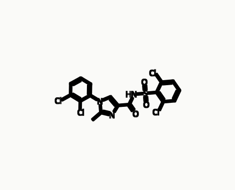 Cc1nc(C(=O)NS(=O)(=O)c2c(Cl)cccc2Cl)cn1-c1cccc(Cl)c1Cl